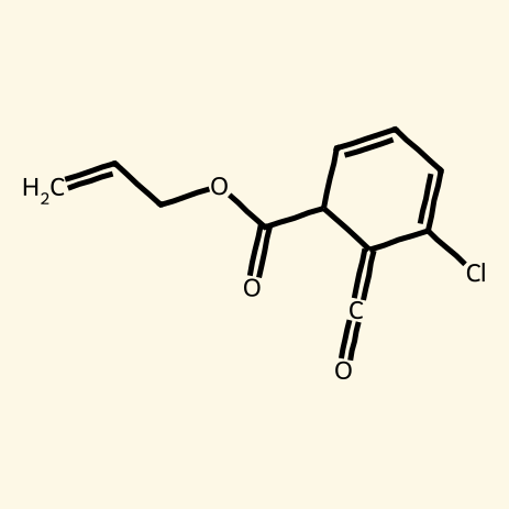 C=CCOC(=O)C1C=CC=C(Cl)C1=C=O